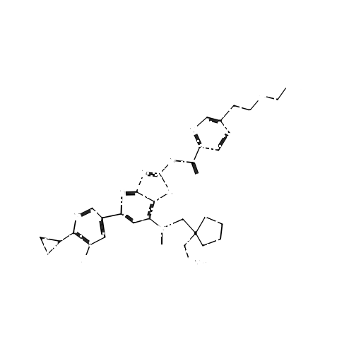 COCC1(CN(C)c2cc(-c3cnc(C4CC4)c(C(F)(F)F)c3)nc3nc(NC(=O)c4ccc(CCOCC(=O)O)cn4)[nH]c23)CCCC1